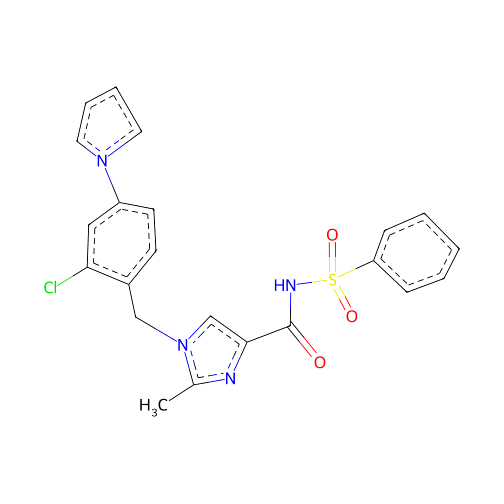 Cc1nc(C(=O)NS(=O)(=O)c2ccccc2)cn1Cc1ccc(-n2cccc2)cc1Cl